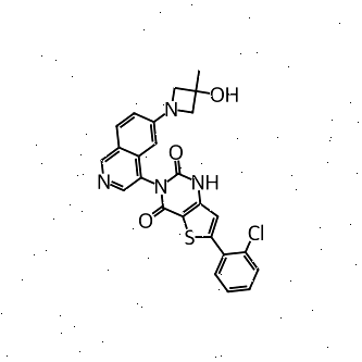 CC1(O)CN(c2ccc3cncc(-n4c(=O)[nH]c5cc(-c6ccccc6Cl)sc5c4=O)c3c2)C1